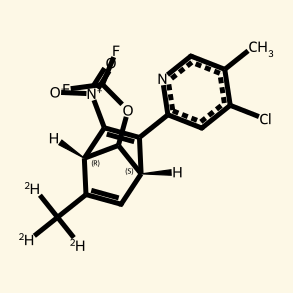 [2H]C([2H])([2H])C1=C[C@H]2C(c3cc(Cl)c(C)cn3)=C([N+](=O)[O-])[C@@H]1C2OC(F)F